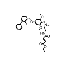 CCOC(=O)/C=C/C(=O)NCCN(C)Cc1c(OC)cc(OCc2cccc(-c3ccccc3)c2C)cc1OC